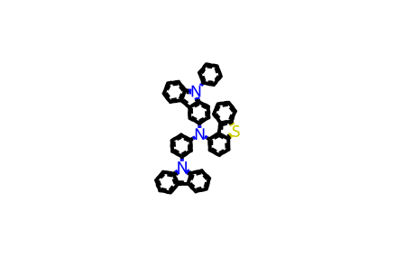 c1ccc(-n2c3ccccc3c3cc(N(c4cccc(-n5c6ccccc6c6ccccc65)c4)c4cccc5sc6ccccc6c45)ccc32)cc1